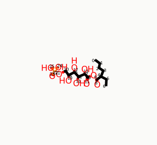 CCCCC(CC)C(=O)OC(=O)C(O)C(O)C(O)C(O)COP(=O)(O)O